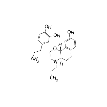 CCCN1CCO[C@@H]2c3cc(O)ccc3CC[C@H]21.NCCc1ccc(O)c(O)c1